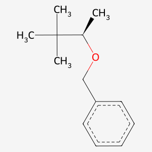 C[C@@H](OCc1ccccc1)C(C)(C)C